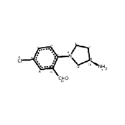 N[C@@H]1CCN(c2ccc(Cl)cc2C=O)C1